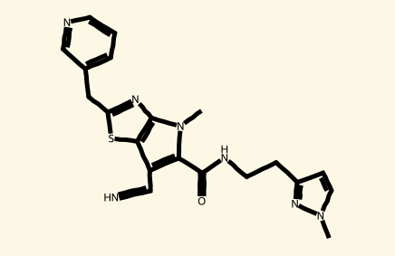 Cn1ccc(CCNC(=O)c2c(C=N)c3sc(Cc4cccnc4)nc3n2C)n1